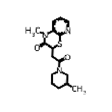 CC1CCCN(C(=O)CC2Sc3ncccc3N(C)C2=O)C1